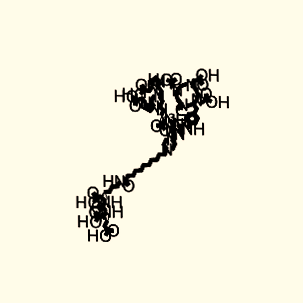 CN1CCN(CC(=O)O)CCN(CC(=O)O)CCN(CC(=O)O)C(Cc2ccc(Nc3nc(N[C@@H](CCCCN(Cc4nccn4CC(=O)O)Cc4nccn4CC(=O)O)C(=O)O)nc(N4CCN(CCCCCCCCCCC(=O)NCCCC[C@H](NC(=O)N[C@@H](CCC(=O)O)C(=O)O)C(=O)O)CC4)n3)cc2)C1